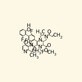 C=CC(=O)N1CC2C(C(=O)OC)N(CF)c3c(c4cc(F)c(-c5c(O)cccc5F)c(F)c4n(-c4c(C)ccnc4C(C)C)c3=O)N2CC1C